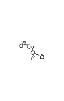 CCOc1ccc(C(=O)N2CCN(c3noc4ccccc34)CC2)cc1C#Cc1ccccn1